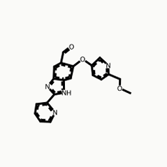 COCc1ccc(Oc2cc3[nH]c(-c4ccccn4)nc3cc2C=O)cn1